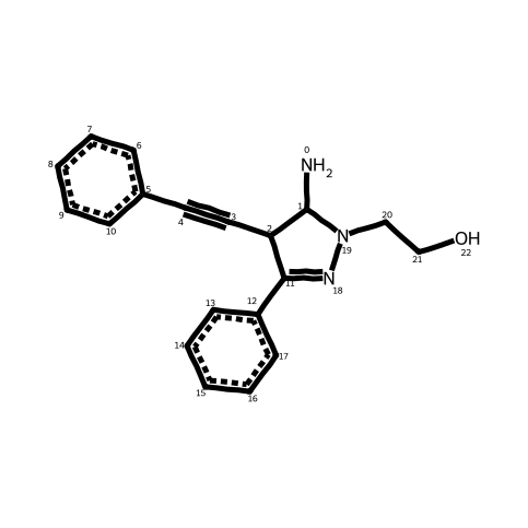 NC1C(C#Cc2ccccc2)C(c2ccccc2)=NN1CCO